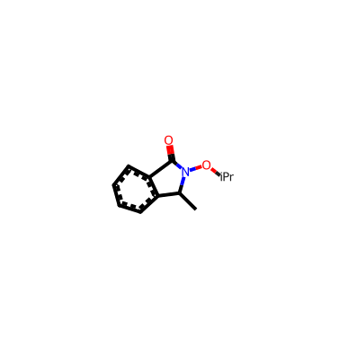 CC(C)ON1C(=O)c2ccccc2C1C